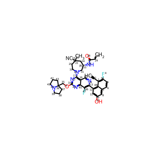 C#Cc1c(F)ccc2cc(O)cc(-c3ncc4c(N5CC[C@@](C)(C#N)C[C@@H](NC(=O)C=C)C5)nc(OCC56CCCN5CCC6)nc4c3F)c12